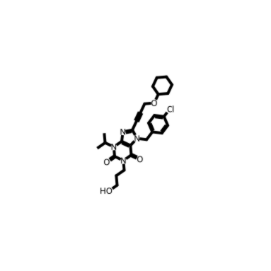 CC(C)n1c(=O)n(CCCO)c(=O)c2c1nc(C#CCOC1CCCCC1)n2Cc1ccc(Cl)cc1